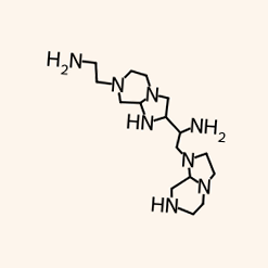 NCCN1CCN2CC(C(N)CN3CCN4CCNCC43)NC2C1